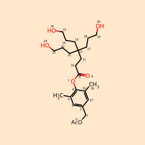 CC(=O)OCc1cc(C)c(OC(=O)CCC(CCCO)(CCCO)CCCO)c(C)c1